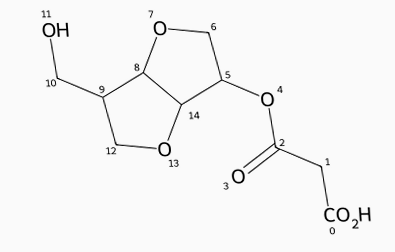 O=C(O)CC(=O)OC1COC2C(CO)COC12